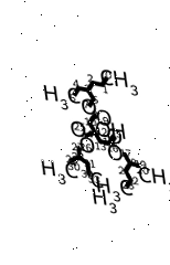 CCCC(CC)COC(=O)CC(O)(CC(=O)OCC(CC)CCC)C(=O)OCC(CC)CCC